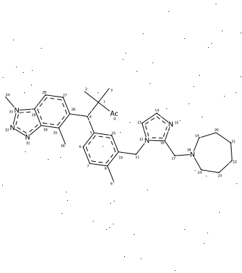 CC(=O)C(C)(C)C(c1ccc(C)c(Cn2ccnc2CN2CCCCCC2)c1)c1ccc2c(nnn2C)c1C